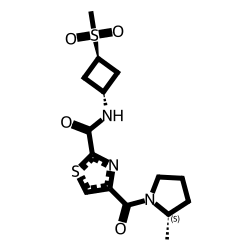 C[C@H]1CCCN1C(=O)c1csc(C(=O)N[C@H]2C[C@H](S(C)(=O)=O)C2)n1